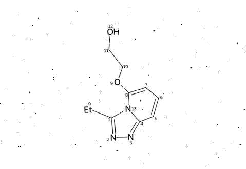 CCc1nnc2cccc(OCCO)n12